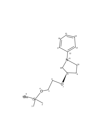 CC(C)(C)[Si](C)(C)OCCO[C@@H]1CCN(c2ccccc2)C1